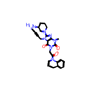 CC#CCn1c(N2CCCC(N)C2)nc2c1c(=O)n(CC(=O)N1CCCc3ccccc31)c(=O)n2C